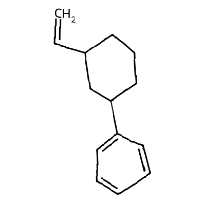 C=CC1CCCC(c2ccccc2)C1